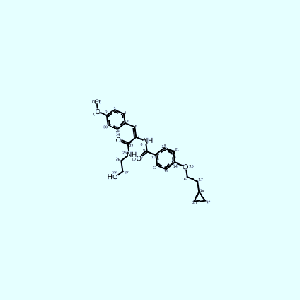 CCOc1ccc(/C=C(/NC(=O)c2ccc(OCCC3CC3)cc2)C(=O)NCCO)cc1